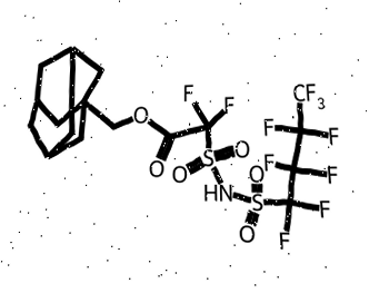 O=C(OCC12CC3CC(CC(C3)C1)C2)C(F)(F)S(=O)(=O)NS(=O)(=O)C(F)(F)C(F)(F)C(F)(F)C(F)(F)F